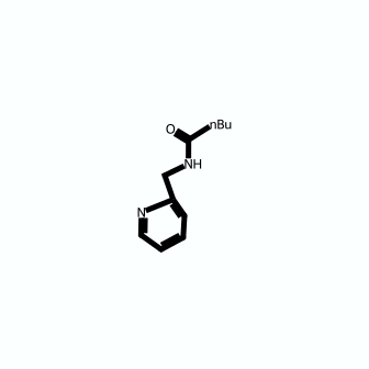 [CH2]CCCC(=O)NCc1ccccn1